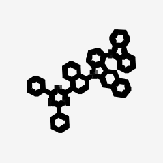 C1=CCCC(c2nc(C3=C4C=CC=CC4C(N4C5=Cc6ccccc6CC5c5c4cccc5-n4c5ccccc5c5ccccc54)C=C3)nc(-c3ccccc3)n2)=C1